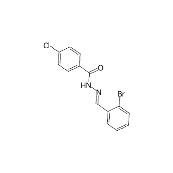 O=C(N/N=C/c1ccccc1Br)c1ccc(Cl)cc1